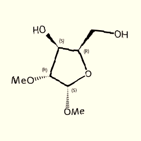 CO[C@H]1O[C@H](CO)[C@H](O)[C@H]1OC